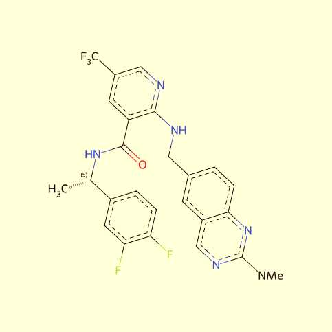 CNc1ncc2cc(CNc3ncc(C(F)(F)F)cc3C(=O)N[C@@H](C)c3ccc(F)c(F)c3)ccc2n1